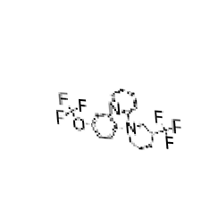 FC(F)(F)Oc1ccc([N+]2(c3ccccn3)CC=CC(C(F)(F)F)C2)cc1